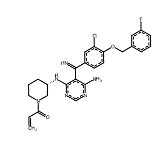 C=CC(=O)N1CCC[C@H](Nc2ncnc(N)c2C(=N)c2ccc(OCc3cccc(F)c3)c(Cl)c2)C1